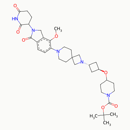 COc1c(N2CCC3(CC2)CN([C@H]2C[C@H](OC4CCN(C(=O)OC(C)(C)C)CC4)C2)C3)ccc2c1CN(C1CCC(=O)NC1=O)C2=O